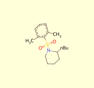 CCCCC1CCCCN1S(=O)(=O)c1c(C)cccc1C